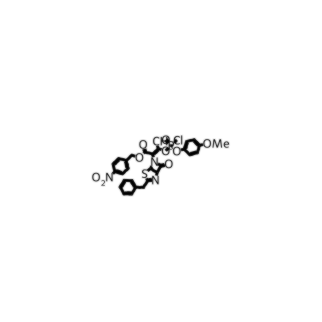 COc1ccc(OP(=O)(Cl)OC(C)=C(C(=O)OCc2ccc([N+](=O)[O-])cc2)N2C(=O)C3N=C(Cc4ccccc4)SC32)cc1